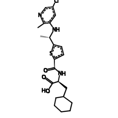 Cc1ncc(Cl)cc1N[C@@H](C)c1ccc(C(=O)N[C@@H](CC2CCCCC2)C(=O)O)s1